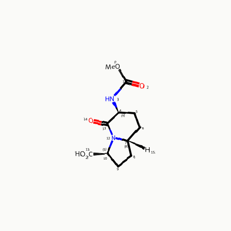 COC(=O)N[C@H]1CC[C@@H]2CC[C@@H](C(=O)O)N2C1=O